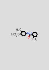 CC1=CC(NC(=O)C2=C(C)CCC=C2)CC=C1C(=O)O